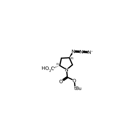 CC(C)(C)OC(=O)N1C[C@H](N=[N+]=[N-])C[C@H]1C(=O)O